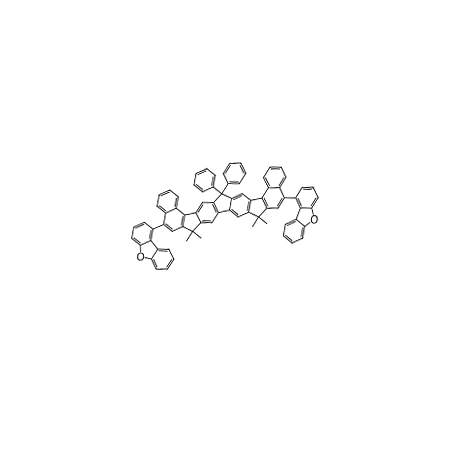 CC1(C)c2cc3c(cc2-c2c1cc(-c1cccc4oc5ccccc5c14)c1ccccc21)C(c1ccccc1)(c1ccccc1)c1cc2c(cc1-3)C(C)(C)c1cc(-c3cccc4oc5ccccc5c34)c3ccccc3c1-2